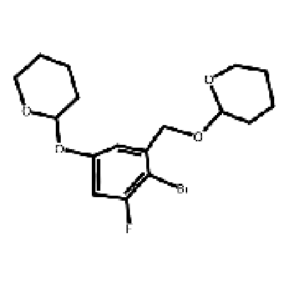 Fc1cc(OC2CCCCO2)cc(COC2CCCCO2)c1Br